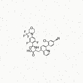 N#Cc1ccc(-c2ccc(CC(NC(=O)c3c(F)cc(N4CCOCC4C(F)(F)F)cc3F)C(=O)O)c3cccnc23)c(Cl)c1